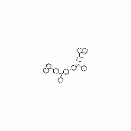 CC1C=C(N(c2ccccc2)c2ccc(-c3ccc(N(c4ccccc4)c4ccc(-c5cccc6ccccc56)cc4)cc3)cc2)C=CC1c1cccc2ccccc12